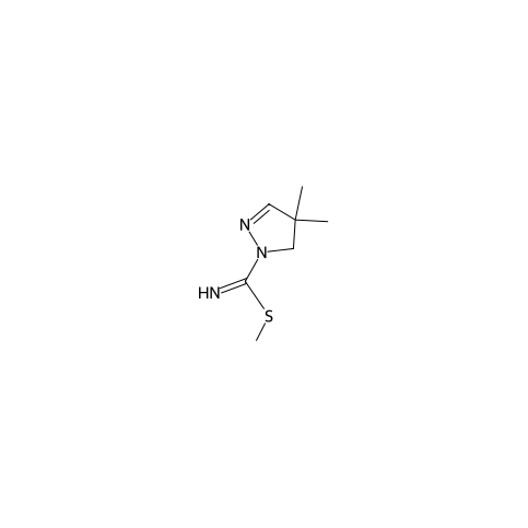 CSC(=N)N1CC(C)(C)C=N1